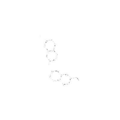 O=Cc1ccc2ccc(Oc3ccc4ccc(O)cc4c3)cc2c1